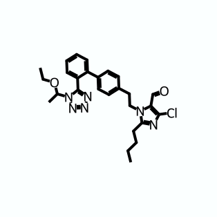 CCCCc1nc(Cl)c(C=O)n1CCc1ccc(-c2ccccc2-c2nnnn2C(C)OCC)cc1